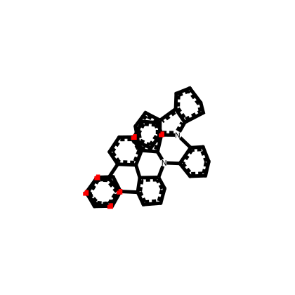 c1ccc(-c2ccccc2-c2c(-c3ccccc3)cccc2N(c2ccccc2)c2ccccc2-n2c3ccccc3c3ccccc32)cc1